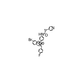 O=C(Nc1ccc(S(=O)(=O)N(Cc2ccc(F)cc2)Cc2ccc(Br)cc2)cc1)C1CC1c1ccncc1